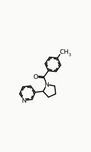 Cc1ccc(C(=O)N2CCCC2c2cccnc2)cc1